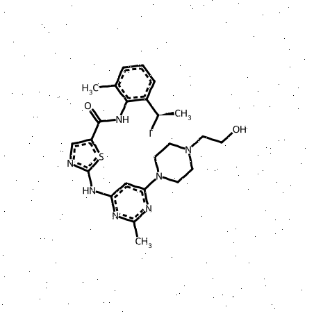 Cc1nc(Nc2ncc(C(=O)Nc3c(C)cccc3[C@@H](C)I)s2)cc(N2CCN(CCO)CC2)n1